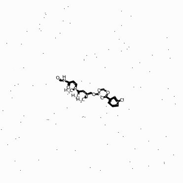 COC(COP1OCOC(c2cccc(Cl)c2)O1)CC(C)N(C)/C=C\C(=O)NC=O